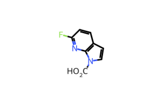 O=C(O)n1ccc2ccc(F)nc21